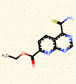 CCOC(=O)c1ccc2c(C(N)=S)ncnc2n1